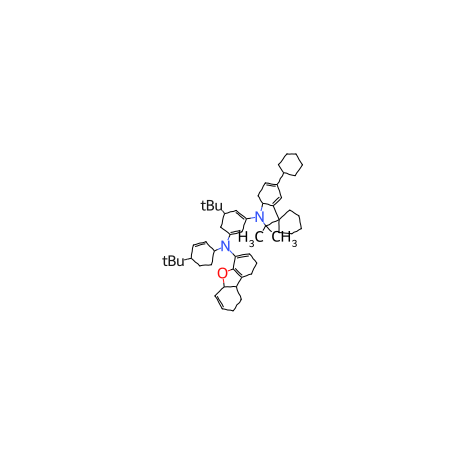 CC(C)(C)C1C=CC(N(C2=CC(N3C4CC=C(C5CCCCC5)C=C4C4(CCCCC4)C3(C)C)=CC(C(C)(C)C)C2)C2=CCCC3=C2OC2C=CCCC32)CC1